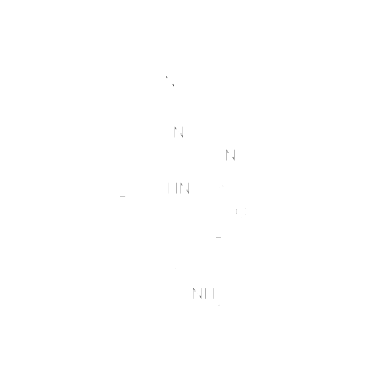 CN(C(=O)Nc1c(F)ccc(N)c1F)c1ccncn1